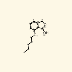 CCCCCOc1cccc2c1B(O)OC2